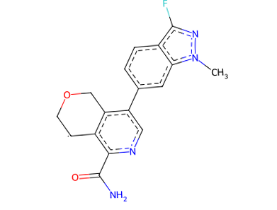 Cn1nc(F)c2ccc(-c3cnc(C(N)=O)c4c3COC[CH]4)cc21